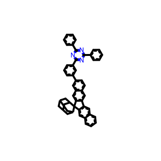 c1ccc(-c2nc(-c3ccccc3)nc(-c3cccc(-c4ccc5cc6c(cc5c4)C4(c5cc7ccccc7cc5-6)C5CC6CC(C5)CC4C6)c3)n2)cc1